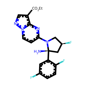 CCOC(=O)c1cnn2ccc(N3C[C@@H](F)C[C@]3(N)c3cc(F)ccc3F)nc12